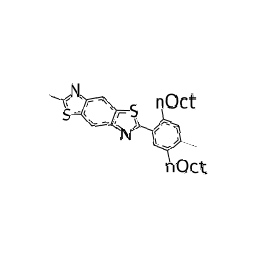 CCCCCCCCc1cc(-c2nc3cc4sc(C)nc4cc3s2)c(CCCCCCCC)cc1C